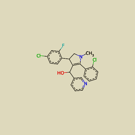 CN1CC(c2ccc(Cl)cc2F)C(C(O)c2cccnc2)=C1c1ccccc1Cl